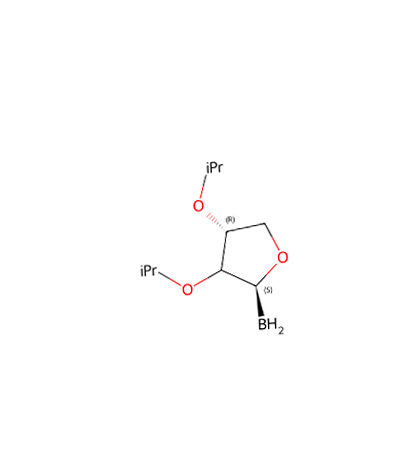 B[C@@H]1OC[C@@H](OC(C)C)C1OC(C)C